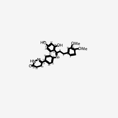 COc1ccc(CCC(=Nc2ccc(C3=NNC(=O)CC3)cc2)c2ccc(O)cc2O)cc1OC